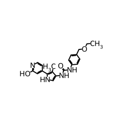 CCOCc1ccc(NC(=O)Nc2c[nH]c(-c3ccnc(O)c3)c2C)cc1